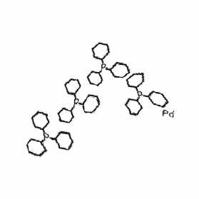 C1CCC(P(C2CCCCC2)C2CCCCC2)CC1.C1CCC(P(C2CCCCC2)C2CCCCC2)CC1.C1CCC(P(C2CCCCC2)C2CCCCC2)CC1.C1CCC(P(C2CCCCC2)C2CCCCC2)CC1.[Pd]